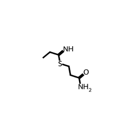 CCC(=N)SCCC(N)=O